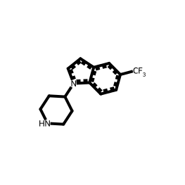 FC(F)(F)c1ccc2c(ccn2C2CCNCC2)c1